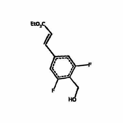 CCOC(=O)/C=C/c1cc(F)c(CO)c(F)c1